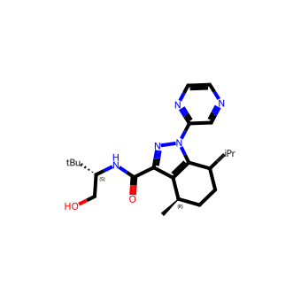 CC(C)C1CC[C@@H](C)c2c(C(=O)N[C@H](CO)C(C)(C)C)nn(-c3cnccn3)c21